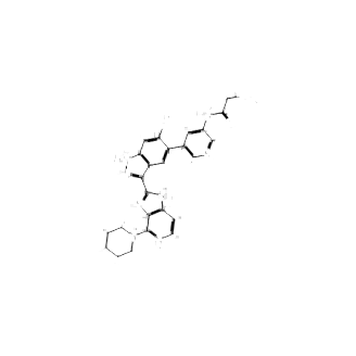 CCC(=O)Nc1cncc(-c2cc3c(-c4nc5c(N6CCCCC6)nccc5[nH]4)n[nH]c3cc2F)c1